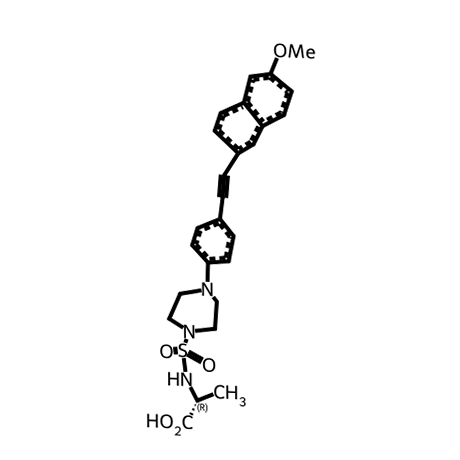 COc1ccc2cc(C#Cc3ccc(N4CCN(S(=O)(=O)N[C@H](C)C(=O)O)CC4)cc3)ccc2c1